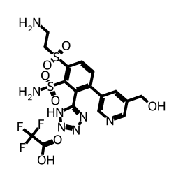 NCCS(=O)(=O)c1ccc(-c2cncc(CO)c2)c(-c2nnn[nH]2)c1S(N)(=O)=O.O=C(O)C(F)(F)F